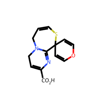 O=C(O)C1=CCN2CC=CSC3(C=COC=C3)C2=N1